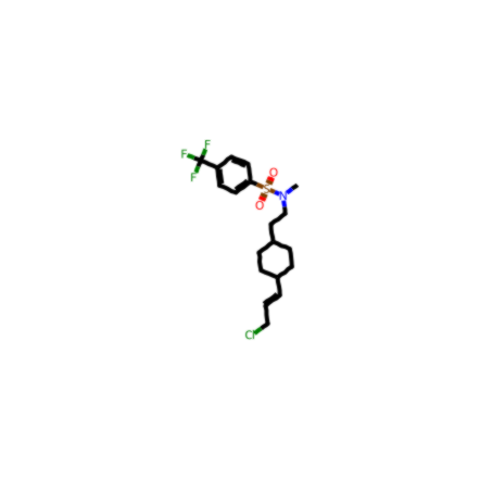 CN(CCC1CCC(C=CCCl)CC1)S(=O)(=O)c1ccc(C(F)(F)F)cc1